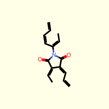 C=C/C=C\C(=C/C)N1C(=O)C(=C/C)/C(=C\C=C)C1=O